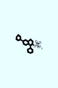 O=S(=O)(Oc1ccc2cc(-c3ccccc3)ccc2c1-c1ccccc1)C(F)(F)F